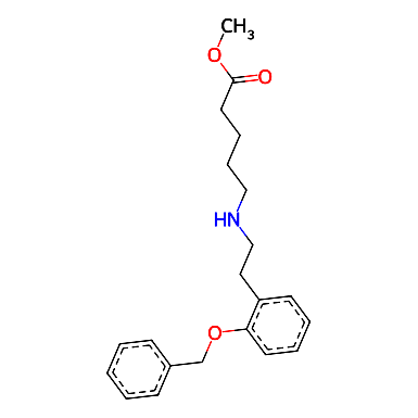 COC(=O)CCCCNCCc1ccccc1OCc1ccccc1